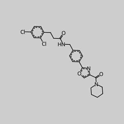 O=C(CCc1ccc(Cl)cc1Cl)NCc1ccc(-c2nc(C(=O)N3CCCCC3)co2)cc1